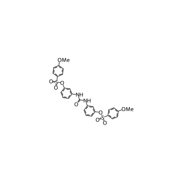 COc1ccc(S(=O)(=O)Oc2cccc(NC(=O)Nc3cccc(OS(=O)(=O)c4ccc(OC)cc4)c3)c2)cc1